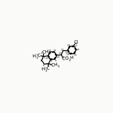 CC1(C)CCC(C)(C)c2cc(C(Cc3cccc(Cl)c3)C(=O)O)ccc21